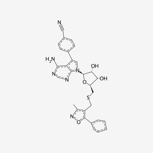 Cc1noc(-c2ccccc2)c1CSC[C@H]1O[C@@H](n2cc(-c3ccc(C#N)cc3)c3c(N)ncnc32)[C@H](O)[C@@H]1O